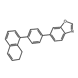 C1=Cc2cccc(-c3ccc(-c4ccc5ncoc5c4)cc3)c2CC1